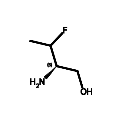 CC(F)[C@@H](N)CO